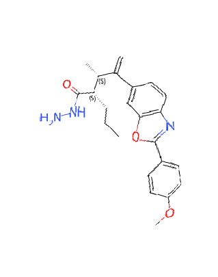 C=C(c1ccc2nc(-c3ccc(OC)cc3)oc2c1)[C@@H](C)[C@H](CCC)C(=O)NN